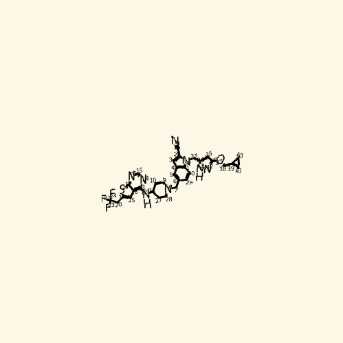 N#Cc1cc2cc(CN3CCC(Nc4ncnc5sc(CC(F)(F)F)cc45)CC3)ccc2n1Cc1cc(OCC2CC2)n[nH]1